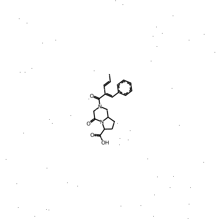 CC=CC(=Cc1ccccc1)C(=O)N1CC(=O)N2C(CCC2C(=O)O)C1